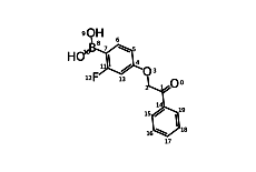 O=C(COc1ccc(B(O)O)c(F)c1)c1ccccc1